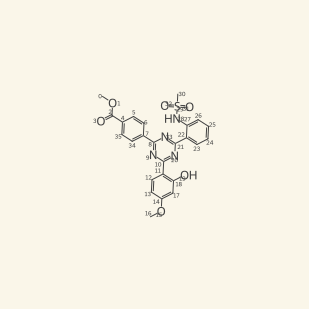 COC(=O)c1ccc(-c2nc(-c3ccc(OC)cc3O)nc(-c3ccccc3NS(C)(=O)=O)n2)cc1